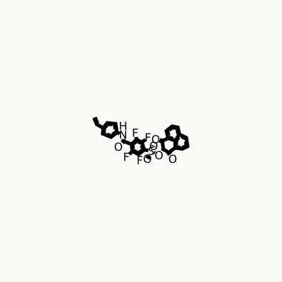 C=Cc1ccc(NC(=O)c2c(F)c(F)c(S(=O)(=O)OC3C(=O)c4cccc5cccc(c45)C3=O)c(F)c2F)cc1